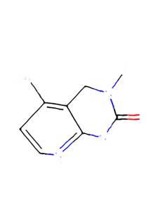 CN1Cc2c(C(C)(C)C)ccnc2NC1=O